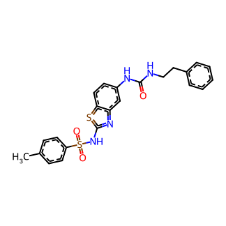 Cc1ccc(S(=O)(=O)Nc2nc3cc(NC(=O)NCCc4ccccc4)ccc3s2)cc1